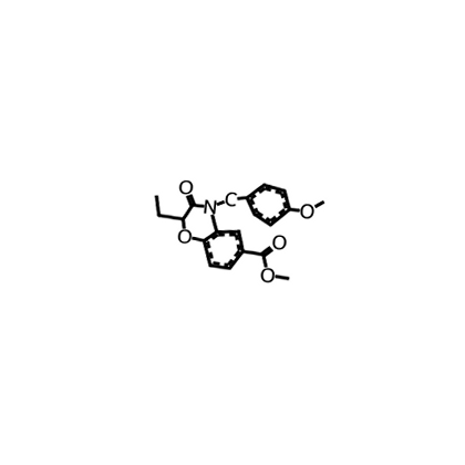 CCC1Oc2ccc(C(=O)OC)cc2N(Cc2ccc(OC)cc2)C1=O